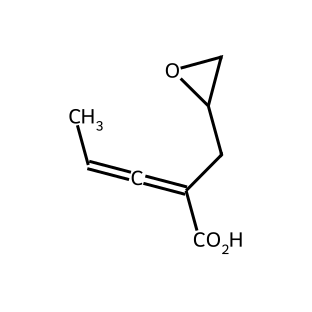 CC=C=C(CC1CO1)C(=O)O